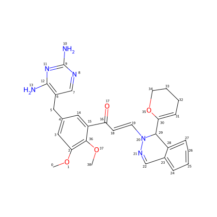 COc1cc(Cc2cnc(N)nc2N)cc(C(=O)/C=C/N2N=Cc3ccccc3C2C2=CCCCO2)c1OC